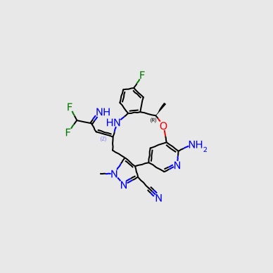 C[C@H]1Oc2cc(cnc2N)-c2c(C#N)nn(C)c2C/C(=C/C(=N)C(F)F)Nc2ccc(F)cc21